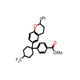 CCCC1CCc2cc(C3(c4ccc(C(=O)OC)cc4)CCC(C(F)(F)F)CC3)ccc2O1